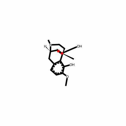 COc1ccc2c(c1O)[C@]13CCN(C)[C@H](C2)C1CCC(O)[C@@H]3C